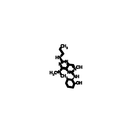 CCCNc1nc(N(C)C)c2nc(N[C@H]3CCCC[C@@H]3O)ncc2n1.Cl